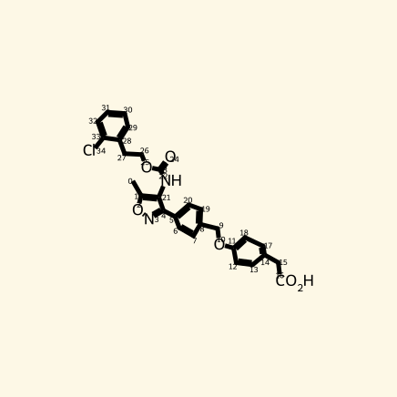 Cc1onc(-c2ccc(COc3ccc(CC(=O)O)cc3)cc2)c1NC(=O)OCCc1ccccc1Cl